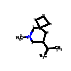 CC(C)C1CN(C)CC2(CCC2)C1